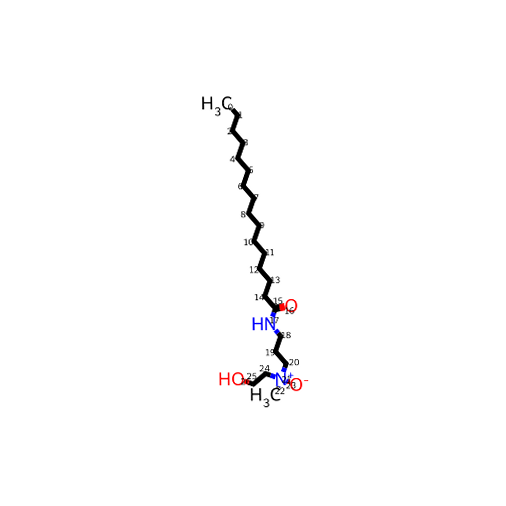 CCCCCCCCCCCCCCCC(=O)NCCC[N+](C)([O-])CCO